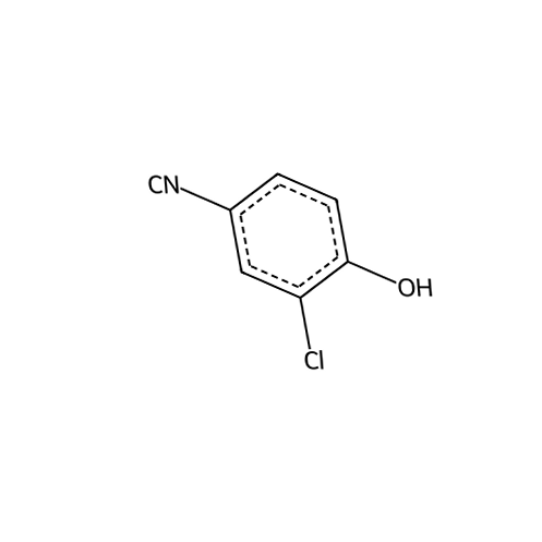 [C-]#[N+]c1ccc(O)c(Cl)c1